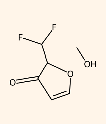 CO.O=C1C=COC1C(F)F